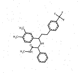 CNC(=O)C(NC(CCc1ccc(C(F)(F)F)cc1)c1ccc(C)c(C)c1)c1ccccc1